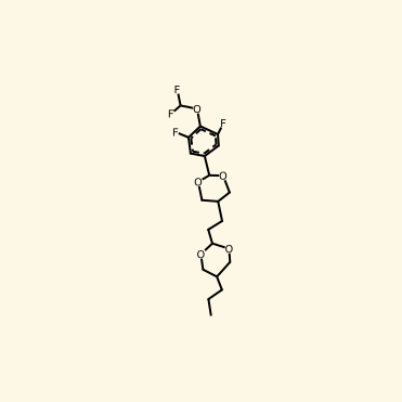 CCCC1COC(CCC2COC(c3cc(F)c(OC(F)F)c(F)c3)OC2)OC1